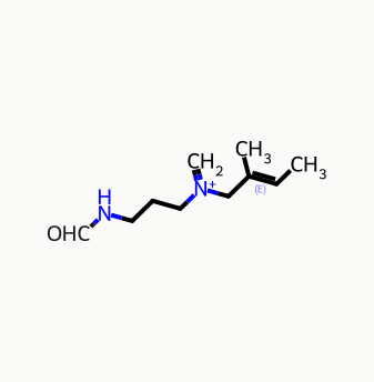 C=[N+](CCCNC=O)C/C(C)=C/C